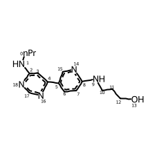 CCCNc1cc(-c2ccc(NCCCO)nc2)ncn1